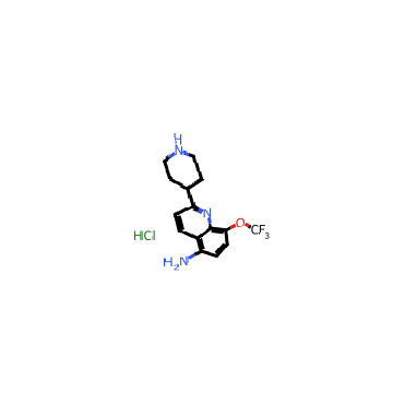 Cl.Nc1ccc(OC(F)(F)F)c2nc(C3CCNCC3)ccc12